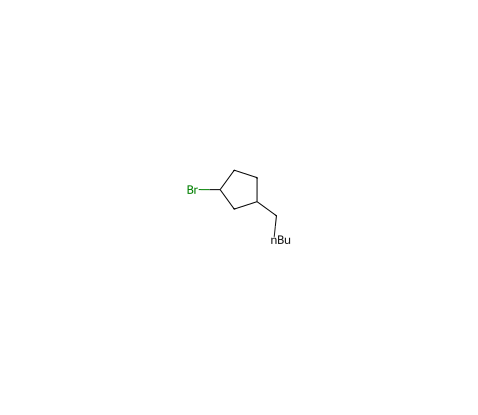 CCCCCC1CCC(Br)C1